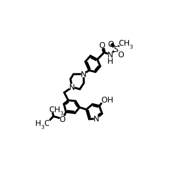 CC(C)Oc1cc(CN2CCN(c3ccc(C(=O)NS(C)(=O)=O)cc3)CC2)cc(-c2cncc(O)c2)c1